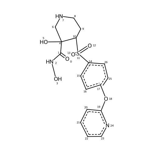 O=C(NO)C1(O)CNCCC1S(=O)(=O)c1ccc(Oc2ccccn2)cc1